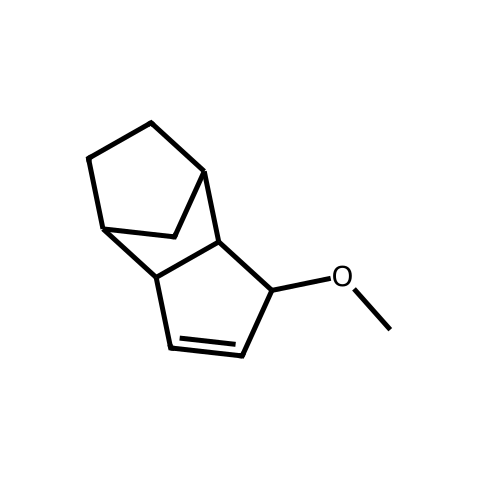 COC1C=CC2C3CCC(C3)C12